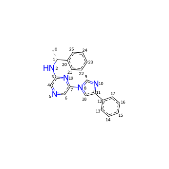 C[C@@H](Nc1cncc(-n2cnc(-c3ccccc3)c2)n1)c1ccccc1